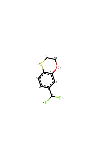 FC(F)c1ccc2c(c1)OCCS2